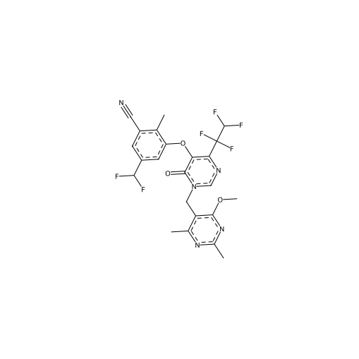 COc1nc(C)nc(C)c1Cn1cnc(C(F)(F)C(F)F)c(Oc2cc(C(F)F)cc(C#N)c2C)c1=O